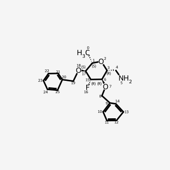 C[C@@H]1O[C@H](CN)[C@@H](OCc2ccccc2)[C@H](F)[C@H]1OCc1ccccc1